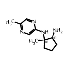 Cc1cnc(N[C@@]2(C)CCC[C@@H]2N)cn1